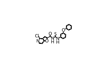 O=C(NC(=S)Nc1cccc(Oc2ccccc2)c1)c1cc2c(Cl)nccc2o1